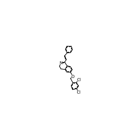 Clc1ccc(COc2ccc3c(c2)CCN=C3C=Cc2ccccc2)c(Cl)c1